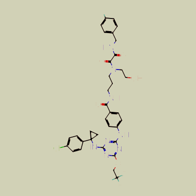 O=C(NCc1ccc(F)cc1)C(=O)N(CCO)CCCNC(=O)c1ccc(Nc2nc(NC3(c4ccc(Cl)cc4)CC3)nc(OCC(F)(F)F)n2)cc1